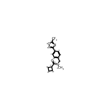 CN(Cc1ccc(-c2noc(C(F)(F)F)n2)cc1)C(=O)C1CCC1